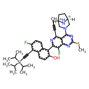 CC#Cc1nc(-c2c(O)ccc3c(C#C[Si](C(C)C)(C(C)C)C(C)C)c(F)ccc23)c(F)c2nc(SC)nc(N3C[C@H]4CC[C@@H](C3)N4)c12